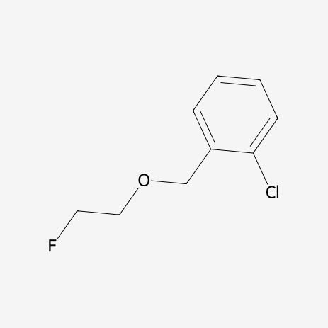 FCCOCc1ccccc1Cl